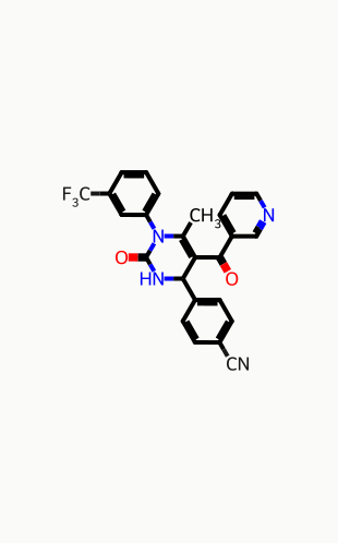 CC1=C(C(=O)c2cccnc2)C(c2ccc(C#N)cc2)NC(=O)N1c1cccc(C(F)(F)F)c1